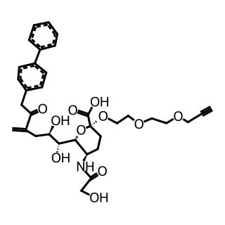 C#CCOCCOCCO[C@]1(C(=O)O)CC[C@@H](NC(=O)CO)[C@H]([C@H](O)[C@H](O)CC(=C)C(=O)Cc2ccc(-c3ccccc3)cc2)O1